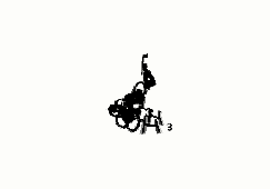 CNC(C(=O)O)[C@H]1OCC[C@@]1(C)Sc1ccc(OCc2cccc(F)c2)cc1